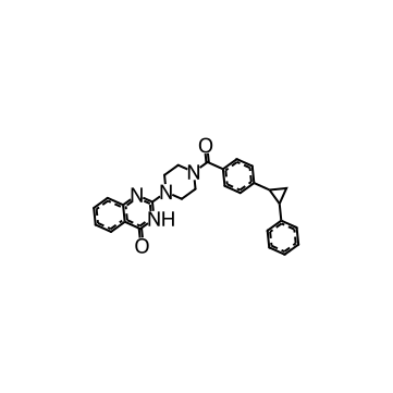 O=C(c1ccc(C2CC2c2ccccc2)cc1)N1CCN(c2nc3ccccc3c(=O)[nH]2)CC1